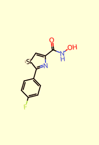 O=C(NO)C1=C[Si]C(c2ccc(F)cc2)=N1